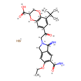 Br.CCOc1cc2c(cc1C(N)=O)C(=N)N(CC(=O)c1cc3c(c(C(C)(C)C)c1)OCC(C(=O)O)O3)C2